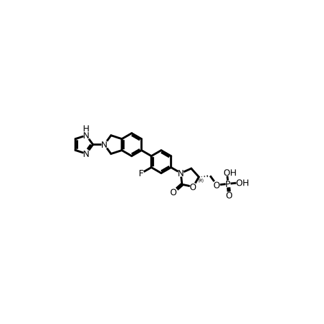 O=C1O[C@@H](COP(=O)(O)O)CN1c1ccc(-c2ccc3c(c2)CN(c2ncc[nH]2)C3)c(F)c1